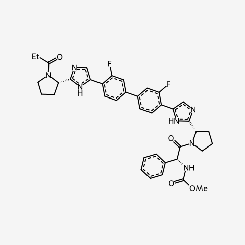 CCC(=O)N1CCC[C@H]1c1ncc(-c2ccc(-c3ccc(-c4cnc([C@@H]5CCCN5C(=O)[C@H](NC(=O)OC)c5ccccc5)[nH]4)c(F)c3)cc2F)[nH]1